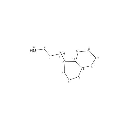 OCCNC1CCCC2CCCCC21